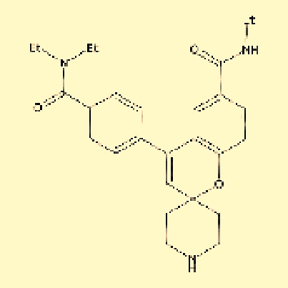 CCNC(=O)c1ccc2c(c1)C(c1ccc(C(=O)N(CC)CC)cc1)=CC1(CCNCC1)O2